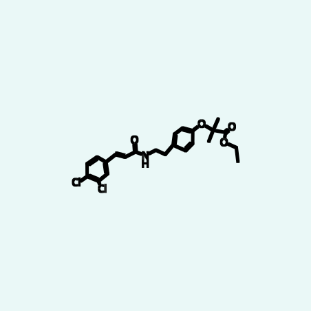 CCOC(=O)C(C)(C)Oc1ccc(CCNC(=O)C=Cc2ccc(Cl)c(Cl)c2)cc1